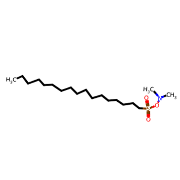 CCCCCCCCCCCCCCCCCS(=O)(=O)ON(C)C